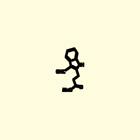 COC(=O)CCc1[nH]c2ccccc2c1C=O